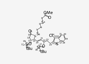 COC(=O)CSCCCS[C@H]1C(=O)C[C@@H](O[Si](C)(C)C(C)(C)C)C1/C=C/C(CCc1sc2ccccc2c1Cl)O[Si](C)(C)C(C)(C)C